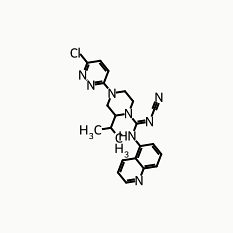 CC(C)C1CN(c2ccc(Cl)nn2)CCN1/C(=N\C#N)Nc1cccc2ncccc12